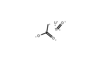 CC(=O)[O-].[Li+].[O]=[Ti]